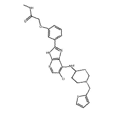 CNC(=O)COc1cccc(-c2nc3c(NC4CCN(Cc5cccs5)CC4)c(Cl)cnc3[nH]2)c1